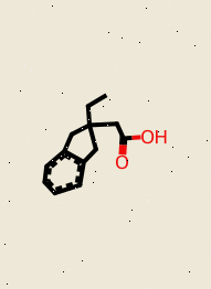 CCC1(CC(=O)O)Cc2ccccc2C1